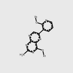 CCOc1ncccc1-c1cnc2nc(N)nc(OCC)c2n1